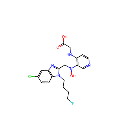 O=C(O)CNc1ccncc1N(O)Cc1nc2cc(Cl)ccc2n1CCCCF